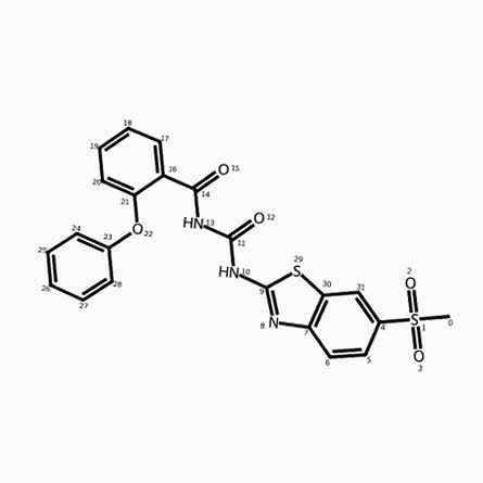 CS(=O)(=O)c1ccc2nc(NC(=O)NC(=O)c3ccccc3Oc3ccccc3)sc2c1